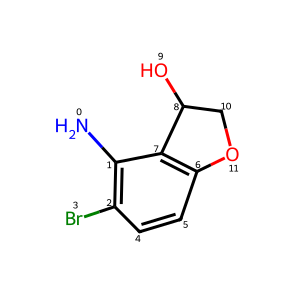 Nc1c(Br)ccc2c1C(O)CO2